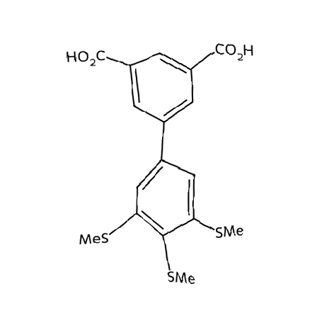 CSc1cc(-c2cc(C(=O)O)cc(C(=O)O)c2)cc(SC)c1SC